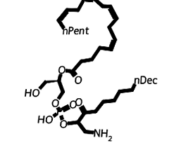 CCCCC/C=C\C/C=C\C/C=C\C/C=C\CCCC(=O)O[C@H](CO)COP(=O)(O)OC(CN)C(=O)CCCCCCCCCCCCCCC